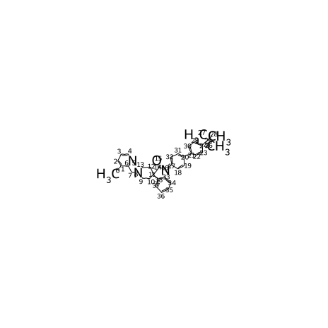 Cc1cccnc1CN1CCC2(CC1)C(=O)N(c1ccc(-c3ccc(C(C)(C)C)cc3)cc1)c1ccccc12